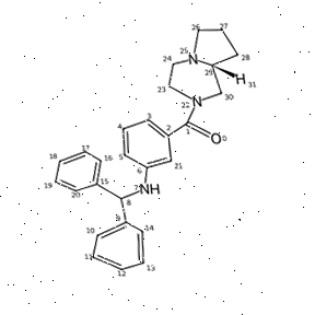 O=C(c1cccc(NC(c2ccccc2)c2ccccc2)c1)N1CCN2CCC[C@@H]2C1